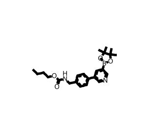 CCCCOC(=O)NCc1ccc(-c2cncc(B3OC(C)(C)C(C)(C)O3)c2)cc1